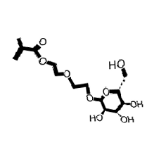 C=C(C)C(=O)OCCOCCOC1O[C@H](CO)[C@@H](O)[C@H](O)[C@H]1O